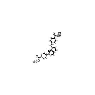 CC(C)(C)OC(=O)N1CC=C(c2ccc3ccn(Cc4ccc(C(=O)NO)cc4)c3n2)CC1